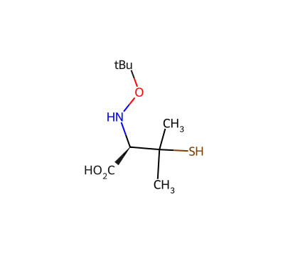 CC(C)(C)ON[C@H](C(=O)O)C(C)(C)S